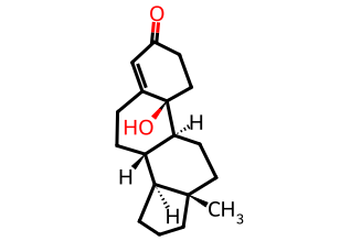 C[C@@]12CCC[C@H]1[C@@H]1CCC3=CC(=O)CC[C@]3(O)[C@H]1CC2